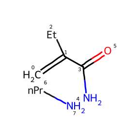 C=C(CC)C(N)=O.CCCN